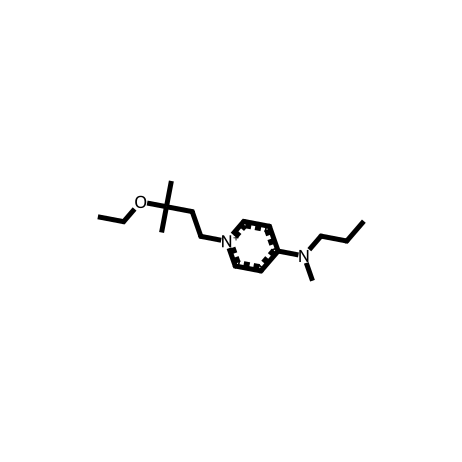 CCCN(C)c1cc[n+](CCC(C)(C)OCC)cc1